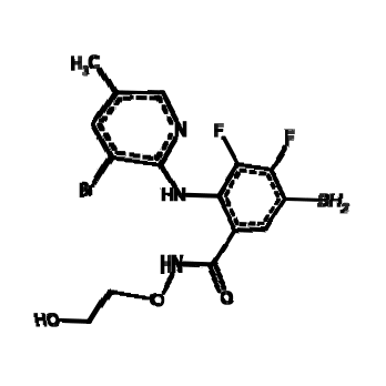 Bc1cc(C(=O)NOCCO)c(Nc2ncc(C)cc2Br)c(F)c1F